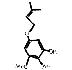 COc1cc(OCC=C(C)C)cc(O)c1C(C)=O